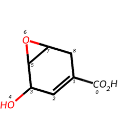 O=C(O)C1=CC(O)C2OC2C1